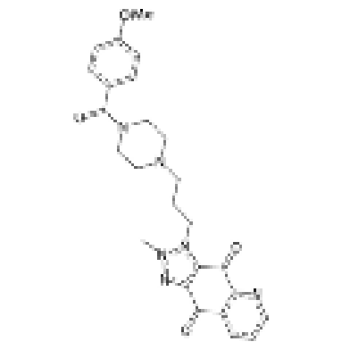 COc1ccc(C(=O)N2CCN(CCCn3c4c(n[n+]3C)C(=O)c3cccnc3C4=O)CC2)cc1